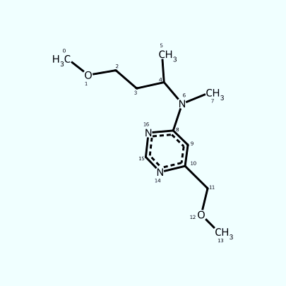 COCCC(C)N(C)c1cc(COC)ncn1